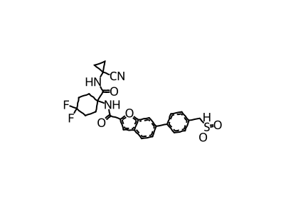 N#CC1(NC(=O)C2(NC(=O)c3cc4ccc(-c5ccc(C[SH](=O)=O)cc5)cc4o3)CCC(F)(F)CC2)CC1